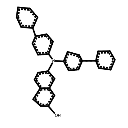 Oc1ccc2ccc(N(c3ccc(-c4ccccc4)cc3)c3ccc(-c4ccccc4)cc3)cc2c1